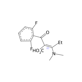 CC/C(=C(/C(=O)O)C(=O)c1c(F)cccc1F)N(C)C